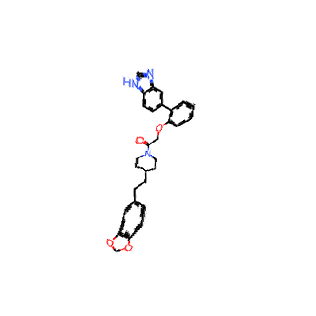 O=C(COc1ccccc1-c1ccc2[nH]cnc2c1)N1CCC(CCc2ccc3c(c2)OCO3)CC1